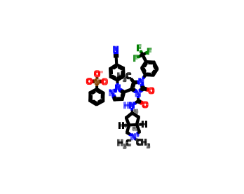 Cc1c(-c2ccnn2-c2ccc(C#N)cc2)n(C(=O)N[C@H]2C[C@@H]3C[N+](C)(C)C[C@@H]3C2)c(=O)n1-c1cccc(C(F)(F)F)c1.O=S(=O)([O-])c1ccccc1